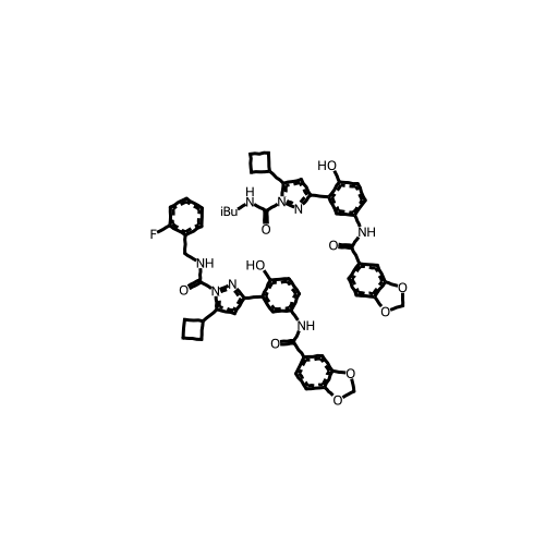 CCC(C)NC(=O)n1nc(-c2cc(NC(=O)c3ccc4c(c3)OCO4)ccc2O)cc1C1CCC1.O=C(Nc1ccc(O)c(-c2cc(C3CCC3)n(C(=O)NCc3ccccc3F)n2)c1)c1ccc2c(c1)OCO2